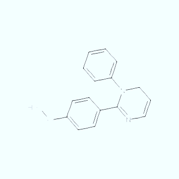 COc1ccc(C2=NC=CCN2c2ccccc2)cc1